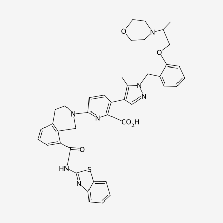 Cc1c(-c2ccc(N3CCc4cccc(C(=O)Nc5nc6ccccc6s5)c4C3)nc2C(=O)O)cnn1Cc1ccccc1OCC(C)N1CCOCC1